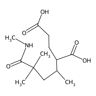 CNC(=O)C(C)(C)CC(C)C(CCC(=O)O)C(=O)O